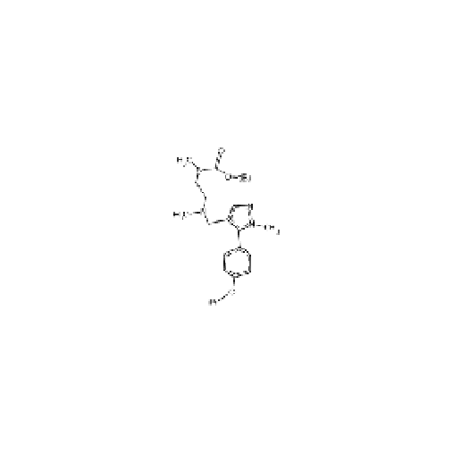 CC(C)Oc1ccc(-c2c(CN(C)CCN(C)C(=O)OC(C)(C)C)cnn2C)cc1